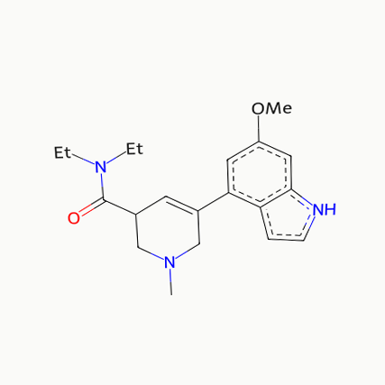 CCN(CC)C(=O)C1C=C(c2cc(OC)cc3[nH]ccc23)CN(C)C1